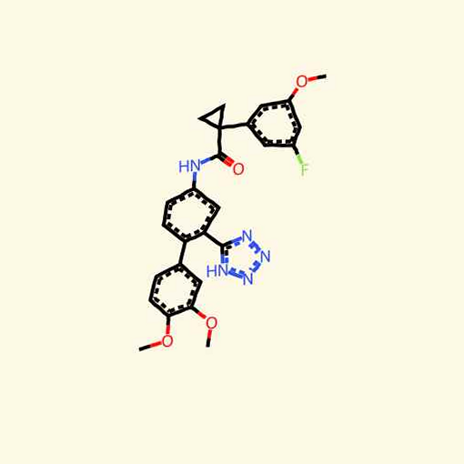 COc1cc(F)cc(C2(C(=O)Nc3ccc(-c4ccc(OC)c(OC)c4)c(-c4nnn[nH]4)c3)CC2)c1